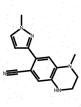 CN1CCNc2cc(C#N)c(-c3ccn(C)n3)cc21